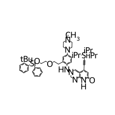 CC(C)[Si](C#Cc1cc(=O)[nH]c2c1=CN(Nc1ccc(N3CCN(C)CC3)cc1CCOCCO[Si](c1ccccc1)(c1ccccc1)C(C)(C)C)CN=2)(C(C)C)C(C)C